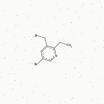 CCc1ncc(Br)cc1CBr